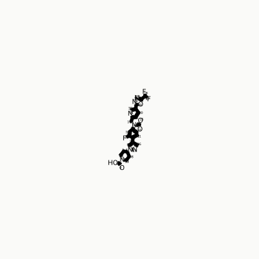 O=C(O)N1CCC(n2cc(-c3cc4oc(=O)n(Cc5ccc(-c6nnc(C(F)F)o6)cn5)c4cc3F)cn2)CC1